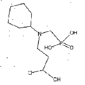 O=P(O)(O)CN(CCC(O)Cl)C1CCCCC1